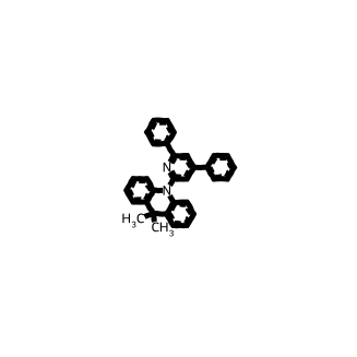 CC1(C)c2ccccc2N(c2cc(-c3ccccc3)cc(-c3ccccc3)n2)c2ccccc21